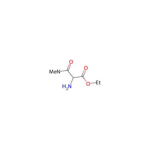 CCOC(=O)C(N)C(=O)NC